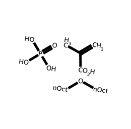 C=C(C)C(=O)O.CCCCCCCCOCCCCCCCC.O=P(O)(O)O